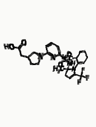 CC1CCCC=C1N1C(C(F)(F)F)=CCC1(C)NS(=O)(=O)c1cccc(N2CCC(CC(=O)O)C2)n1